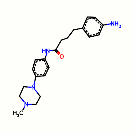 CN1CCN(c2ccc(NC(=O)CCCc3ccc(N)cc3)cc2)CC1